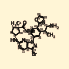 CNC(=O)[C@]1(C)CC[C@@H](Nc2ncc3c(Br)nn(-c4ccc(-c5ncco5)c([C@H](C)CN)c4)c3n2)C1